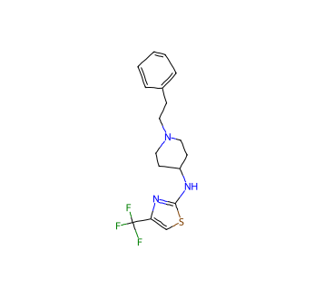 FC(F)(F)c1csc(NC2CCN(CCc3ccccc3)CC2)n1